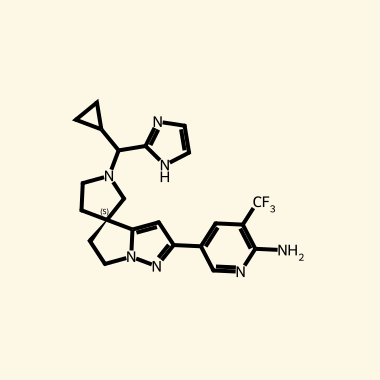 Nc1ncc(-c2cc3n(n2)CC[C@]32CCN(C(c3ncc[nH]3)C3CC3)C2)cc1C(F)(F)F